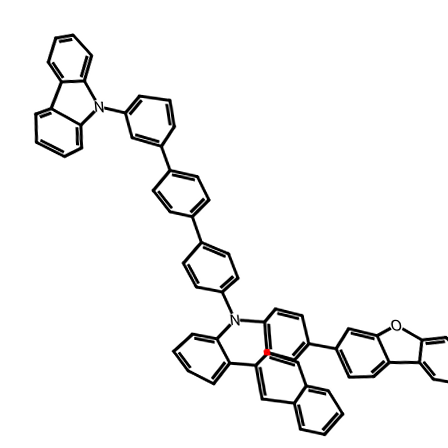 c1cc(-c2ccc(-c3ccc(N(c4ccc(-c5ccc6c(c5)oc5ccccc56)cc4)c4ccccc4-c4ccc5ccccc5c4)cc3)cc2)cc(-n2c3ccccc3c3ccccc32)c1